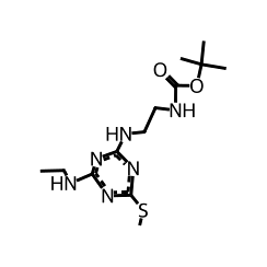 CCNc1nc(NCCNC(=O)OC(C)(C)C)nc(SC)n1